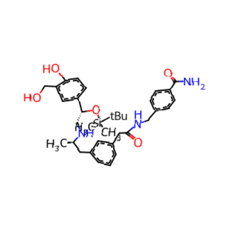 C[C@H](Cc1cccc(CC(=O)NCc2ccc(C(N)=O)cc2)c1)NC[C@@H](O[Si](C)(C)C(C)(C)C)c1ccc(O)c(CO)c1